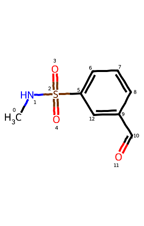 CNS(=O)(=O)c1cccc([C]=O)c1